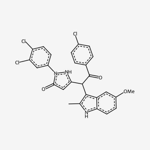 COc1ccc2[nH]c(C)c(C(C(=O)c3ccc(Cl)cc3)c3cc(=O)n(-c4ccc(Cl)c(Cl)c4)[nH]3)c2c1